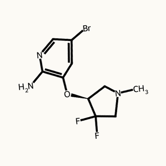 CN1C[C@H](Oc2cc(Br)cnc2N)C(F)(F)C1